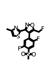 Cc1csc(-c2noc(CF)c2-c2cc(F)c(S(C)(=O)=O)cc2F)n1